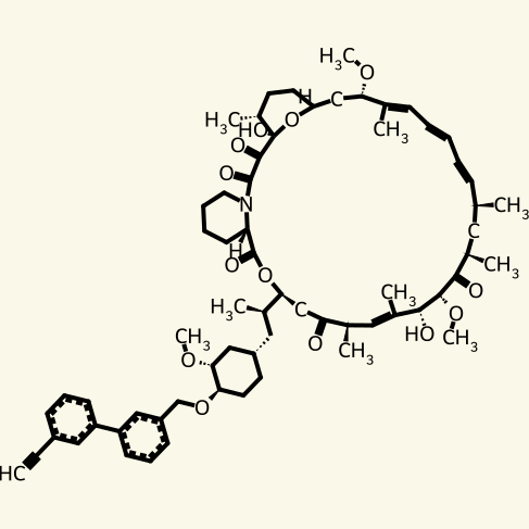 C#Cc1cccc(-c2cccc(CO[C@@H]3CC[C@@H](C[C@@H](C)[C@@H]4CC(=O)[C@H](C)/C=C(\C)[C@@H](O)[C@@H](OC)C(=O)[C@H](C)C[C@H](C)/C=C/C=C/C=C(\C)[C@@H](OC)C[C@@H]5CC[C@@H](C)[C@@](O)(O5)C(=O)C(=O)N5CCCC[C@H]5C(=O)O4)C[C@H]3OC)c2)c1